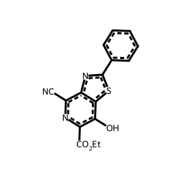 CCOC(=O)c1nc(C#N)c2nc(-c3ccccc3)sc2c1O